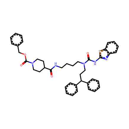 O=C(NCCCCN(CCC(c1ccccc1)c1ccccc1)C(=O)Nc1nc2ccccc2s1)C1CCN(C(=O)OCc2ccccc2)CC1